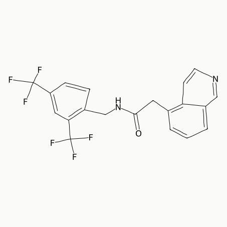 O=C(Cc1cccc2cnccc12)NCc1ccc(C(F)(F)F)cc1C(F)(F)F